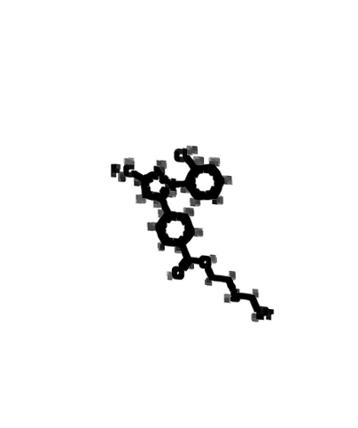 CC(C)CSCCOC(=O)c1ccc(-c2cc(C(F)(F)F)nn2-c2ccccc2Cl)cc1